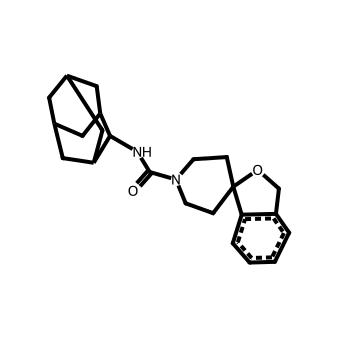 O=C(NC1C2CC3CC(C2)CC1C3)N1CCC2(CC1)OCc1ccccc12